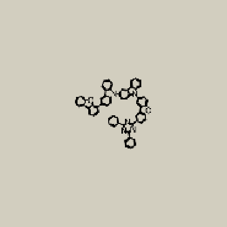 c1ccc(-c2nc(-c3ccccc3)nc(-c3ccc4oc5ccc(-n6c7ccccc7c7cc(-n8c9ccccc9c9cc(-c%10cccc%11c%10oc%10ccccc%10%11)ccc98)ccc76)cc5c4c3)n2)cc1